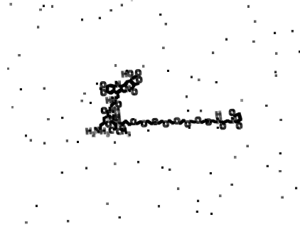 CC(C)[C@H](NC(=O)CCOCCOCCOCCOCCOCCOCCOCCOCCNC(=O)CCN1C(=O)C=CC1=O)C(=O)N[C@@H](CCCCN)C(=O)NCC(=O)NCc1c2c(nc3cc4c(cc13)OCO4)-c1cc3c(c(=O)n1C2)COC(=O)[C@H]3O